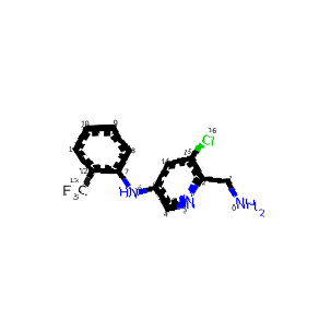 NCc1ncc(Nc2ccccc2C(F)(F)F)cc1Cl